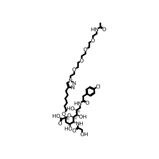 CC(=O)NCCOCCOCCOCCOCCn1cc(CCCCCCO[C@]2(C(=O)O)C[C@H](O)[C@@H](NC(=O)CO)[C@H]([C@H](O)[C@H](O)CNC(=O)Cc3ccc(Cl)cc3)O2)nn1